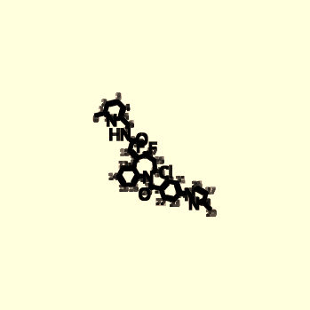 Cc1cccc(CNC(=O)C=C2c3ccccc3N(C(=O)c3ccc(-n4ccc(C)n4)cc3Cl)CCC2(F)F)n1